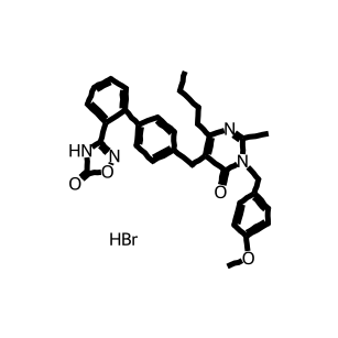 Br.CCCCc1nc(C)n(Cc2ccc(OC)cc2)c(=O)c1Cc1ccc(-c2ccccc2-c2noc(=O)[nH]2)cc1